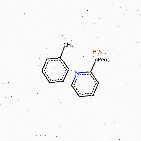 CCCCCc1ccccn1.Cc1ccccc1.S